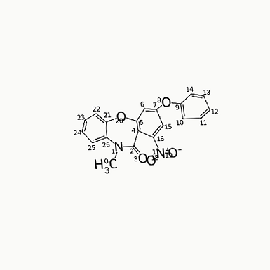 CN1C(=O)c2c(cc(Oc3ccccc3)cc2[N+](=O)[O-])Oc2ccccc21